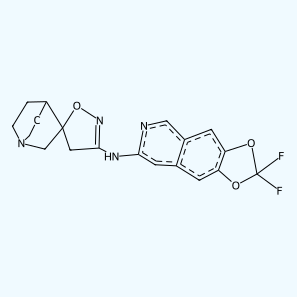 FC1(F)Oc2cc3cnc(NC4=NOC5(C4)CN4CCC5CC4)cc3cc2O1